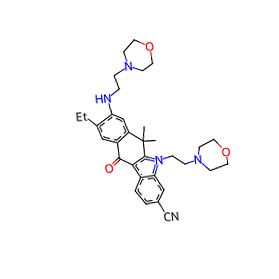 CCc1cc2c(cc1NCCN1CCOCC1)C(C)(C)c1c(c3ccc(C#N)cc3n1CCN1CCOCC1)C2=O